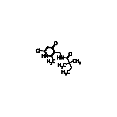 CCC(C)(C)C(=O)NCc1c(C)[nH]c(Cl)cc1=O